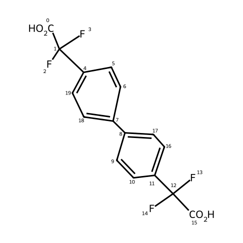 O=C(O)C(F)(F)c1ccc(-c2ccc(C(F)(F)C(=O)O)cc2)cc1